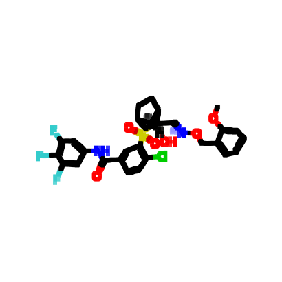 COc1ccccc1CO/N=C/[C@@]1(O)CC2CCC1[C@@H]2S(=O)(=O)c1cc(C(=O)Nc2cc(F)c(F)c(F)c2)ccc1Cl